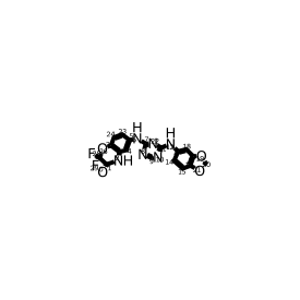 O=C1Nc2cc(Nc3ncnc(Nc4ccc5c(c4)OCO5)n3)ccc2OC1(F)F